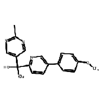 Cc1ncc(C(O)(c2ccc(-c3ccc(OC(F)(F)F)cc3)cn2)C(C)(C)C)cn1